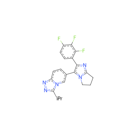 CC(C)c1nnc2ccc(-c3c(-c4ccc(F)c(F)c4F)nc4n3CCC4)cn12